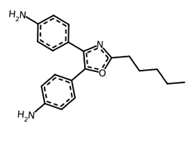 CCCCCc1nc(-c2ccc(N)cc2)c(-c2ccc(N)cc2)o1